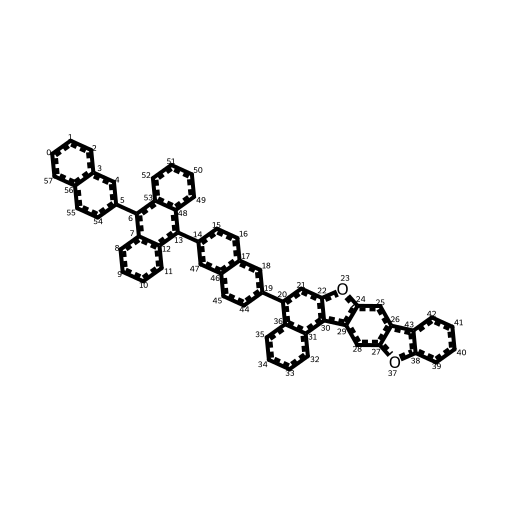 c1ccc2cc(-c3c4ccccc4c(-c4ccc5cc(-c6cc7oc8cc9c(cc8c7c7ccccc67)oc6ccccc69)ccc5c4)c4ccccc34)ccc2c1